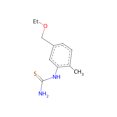 CCOCc1ccc(C)c(NC(N)=S)c1